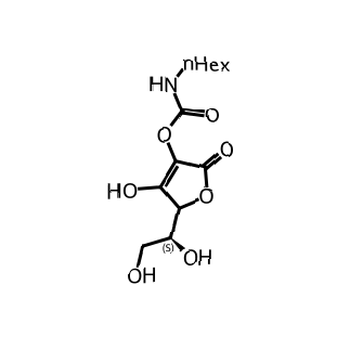 CCCCCCNC(=O)OC1=C(O)C([C@@H](O)CO)OC1=O